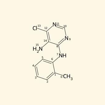 Cc1ccccc1Nc1ncnc(Cl)c1N